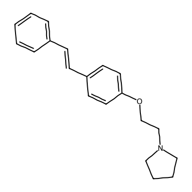 C(=Cc1ccc(OCCN2CCCC2)cc1)c1ccccc1